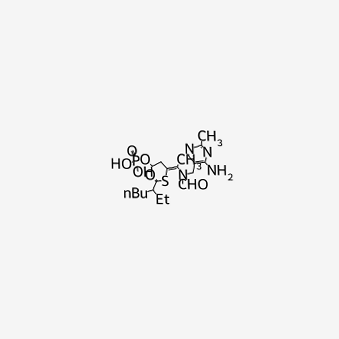 CCCCC(CC)C(=O)S/C(CCOP(=O)(O)O)=C(/C)N(C=O)Cc1cnc(C)nc1N